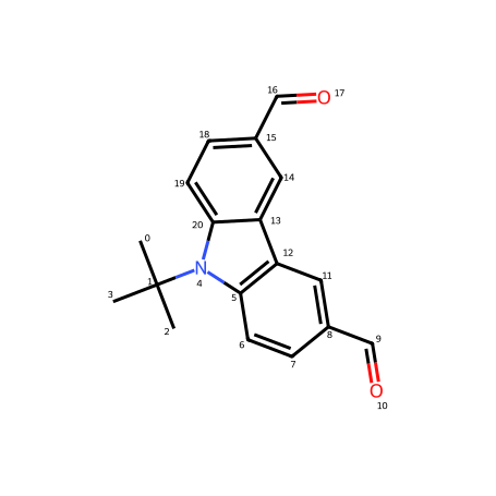 CC(C)(C)n1c2ccc(C=O)cc2c2cc(C=O)ccc21